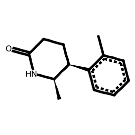 Cc1ccccc1[C@@H]1CCC(=O)N[C@@H]1C